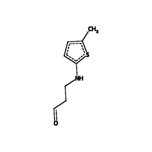 Cc1ccc(NCCC=O)s1